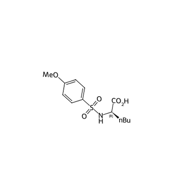 CCCC[C@@H](NS(=O)(=O)c1ccc(OC)cc1)C(=O)O